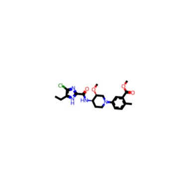 CCc1[nH]c(C(=O)N[C@@H]2CCN(c3ccc(C)c(C(=O)OC)c3)C[C@@H]2OC)nc1Cl